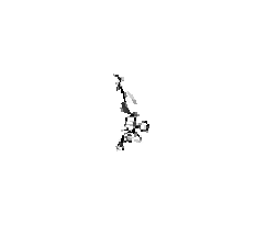 CCC=CCCOC(=O)C(C)(C)OC=O